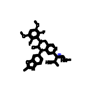 CN/C=C(\C(C)=N)c1cc2c(cn1)CN(c1c(F)c(OC)cc(OC)c1F)C(=O)N2c1ccc2nc(C)oc2c1